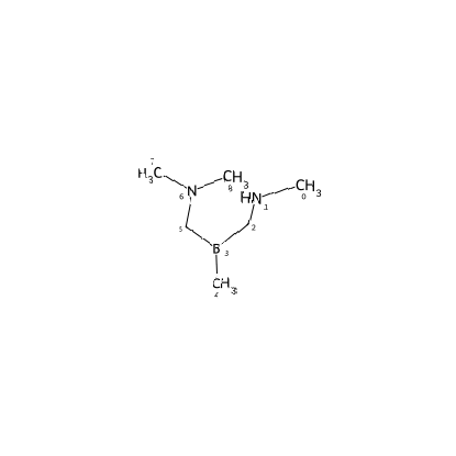 CNCB(C)CN(C)C